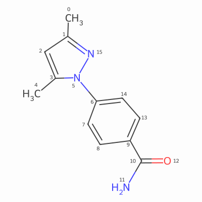 Cc1cc(C)n(-c2ccc(C(N)=O)cc2)n1